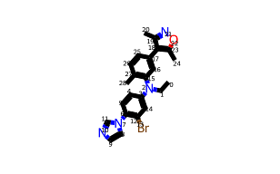 CCN(c1ccc(-n2ccnc2)c(Br)c1)c1cc(-c2c(C)noc2C)ccc1C